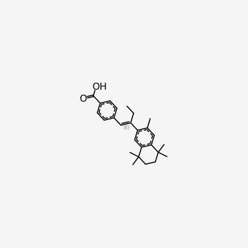 CC/C(=C\c1ccc(C(=O)O)cc1)c1cc2c(cc1C)C(C)(C)CCC2(C)C